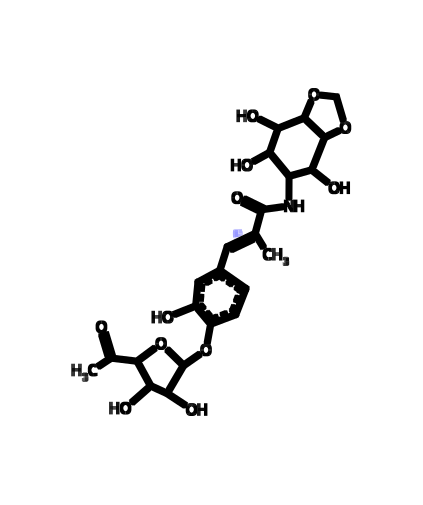 CC(=O)C1OC(Oc2ccc(/C=C(\C)C(=O)NC3C(O)C(O)C4OCOC4C3O)cc2O)C(O)C1O